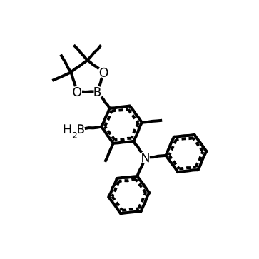 Bc1c(B2OC(C)(C)C(C)(C)O2)cc(C)c(N(c2ccccc2)c2ccccc2)c1C